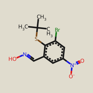 CC(C)(C)Sc1c(Br)cc([N+](=O)[O-])cc1/C=N/O